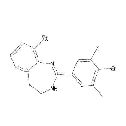 CCc1cccc2c1N=C(c1cc(C)c(CC)c(C)c1)NCC2